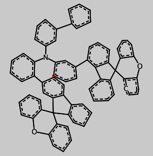 c1ccc(-c2cccc(N(c3cccc(-c4cccc5c4-c4ccccc4C54c5ccccc5Oc5ccccc54)c3)c3ccccc3-c3ccc4c(c3)C3(c5ccccc5Oc5ccccc53)c3ccccc3-4)c2)cc1